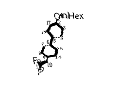 CCCCCCO[C@H]1CC[C@H]([C@H]2CC[C@H](C=C(F)F)CC2)CC1